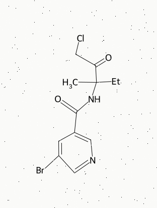 CCC(C)(NC(=O)c1cncc(Br)c1)C(=O)CCl